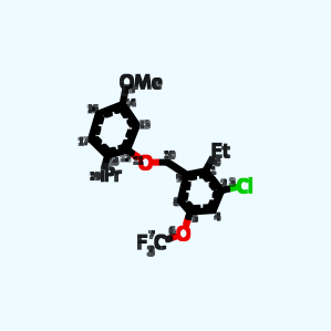 CCc1c(Cl)cc(OC(F)(F)F)cc1COc1cc(OC)ccc1C(C)C